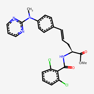 COC(=O)[C@H](C/C=C/c1ccc(N(C)c2ncccn2)cc1)NC(=O)c1c(Cl)cccc1Cl